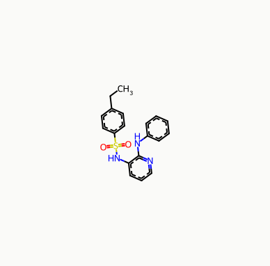 CCc1ccc(S(=O)(=O)Nc2cccnc2Nc2ccccc2)cc1